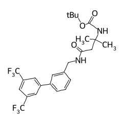 CC(C)(CC(=O)NCc1cccc(-c2cc(C(F)(F)F)cc(C(F)(F)F)c2)c1)NC(=O)OC(C)(C)C